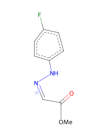 COC(=O)/C=N\Nc1ccc(F)cc1